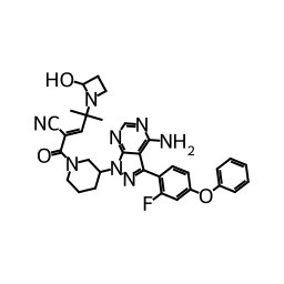 CC(C)(C=C(C#N)C(=O)N1CCCC(n2nc(-c3ccc(Oc4ccccc4)cc3F)c3c(N)ncnc32)C1)N1CCC1O